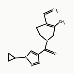 C=CC1=C(C)CN(C(=O)c2cnn(C3CC3)c2)CC1